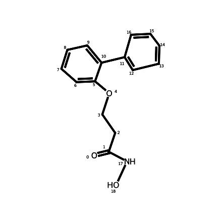 O=C(CCOc1ccccc1-c1ccccc1)NO